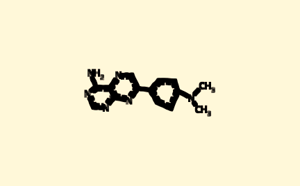 CN(C)c1ccc(-c2cnc3c(N)ncnc3n2)cc1